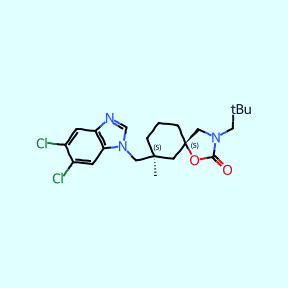 CC(C)(C)CN1C[C@@]2(CCC[C@](C)(Cn3cnc4cc(Cl)c(Cl)cc43)C2)OC1=O